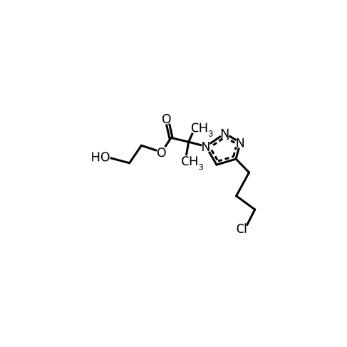 CC(C)(C(=O)OCCO)n1cc(CCCCl)nn1